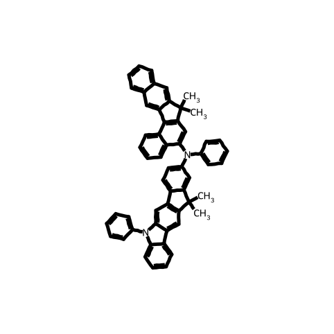 CC1(C)c2cc(N(c3ccccc3)c3cc4c(c5ccccc35)-c3cc5ccccc5cc3C4(C)C)ccc2-c2cc3c(cc21)c1ccccc1n3-c1ccccc1